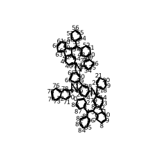 c1ccc(C(=C2c3ccccc3-c3ccc(N(c4ccccc4)c4ccc5c(c4)c4cc(N(c6ccccc6)c6ccc7c(c6)C(=C(c6ccccc6)c6ccccc6)c6ccccc6-7)ccc4n5-c4ccc5ccccc5c4)cc32)c2ccccc2)cc1